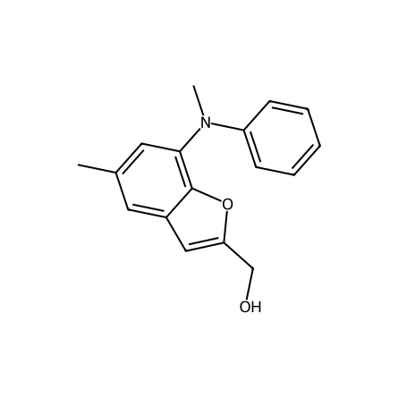 Cc1cc(N(C)c2ccccc2)c2oc(CO)cc2c1